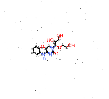 O=c1nc2c(cn1[C@H](OCCO)C(O)CO)Oc1ccccc1N2